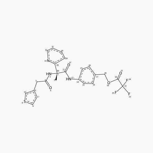 C[C@](NC(=O)Cc1ccsc1)(C(=O)Nc1ccc(COC(=O)C(F)(F)F)cc1)c1ccccn1